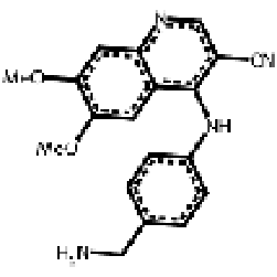 COc1cc2ncc(C#N)c(Nc3ccc(CN)cc3)c2cc1OC